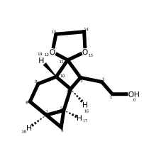 OCCC1[C@H]2[C@H]3C[C@H]3CC[C@@H]2C12OCCO2